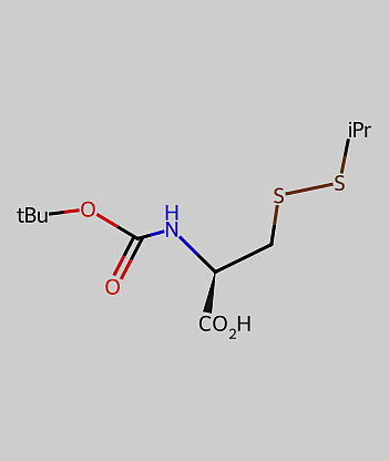 CC(C)SSC[C@H](NC(=O)OC(C)(C)C)C(=O)O